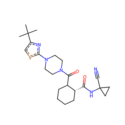 CC(C)(C)c1csc(N2CCN(C(=O)C3CCCC[C@H]3C(=O)NC3(C#N)CC3)CC2)n1